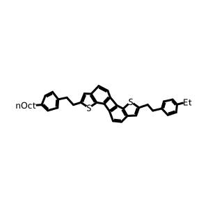 CCCCCCCCc1ccc(CCc2cc3ccc4c(c3s2)-c2ccc3cc(CCc5ccc(CC)cc5)sc3c2-4)cc1